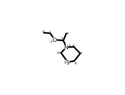 CCOC(C)N1CCCSC1